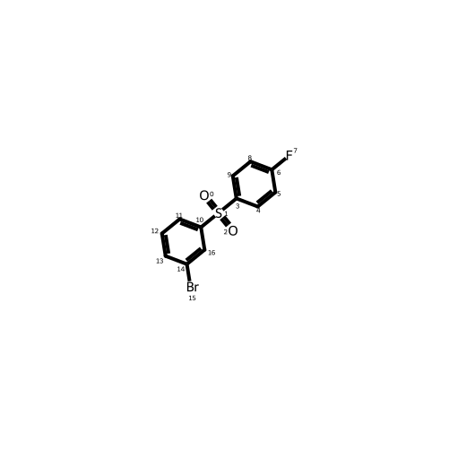 O=S(=O)(c1ccc(F)cc1)c1cccc(Br)c1